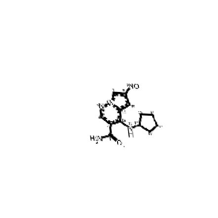 NC(=O)c1cnn2cc(N=O)cc2c1NC1CCCC1